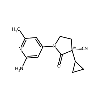 Cc1cc(N2CC[C@@](C#N)(C3CC3)C2=O)cc(N)n1